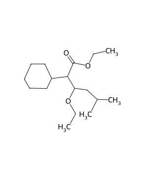 CCOC(=O)C(C1CCCCC1)C(CC(C)C)OCC